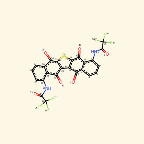 O=C(Nc1cccc2c(=O)c3c(sc4c(=O)c5cccc(NC(=O)C(F)(F)F)c5c(=O)c43)c(=O)c12)C(F)(F)F